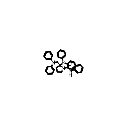 O=C(Nc1ccccc1)N1CCC[C@]1(CN(c1ccccc1)c1ccccc1)P(c1ccccc1)c1ccccc1